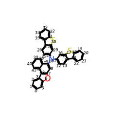 c1ccc2c(c1)oc1cc(N(c3ccc4c(c3)sc3ccccc34)c3ccc4c(c3)sc3ccccc34)c3ccccc3c12